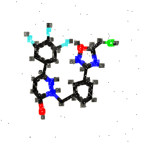 O=c1ccc(-c2cc(F)c(F)c(F)c2)nn1Cc1cccc(-c2noc(CCl)n2)c1